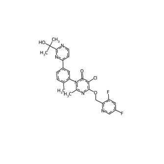 Cc1ccc(-c2ccnc(C(C)(C)O)n2)cc1-n1c(C)nc(OCc2ncc(F)cc2F)c(Cl)c1=O